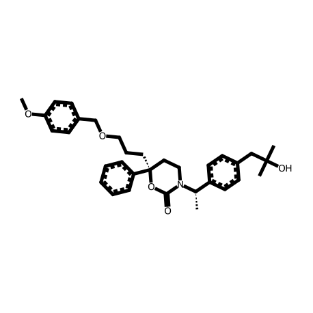 COc1ccc(COCCC[C@]2(c3ccccc3)CCN([C@@H](C)c3ccc(CC(C)(C)O)cc3)C(=O)O2)cc1